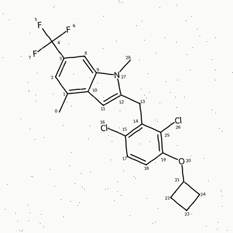 Cc1cc(C(F)(F)F)cc2c1cc(Cc1c(Cl)ccc(OC3CCC3)c1Cl)n2C